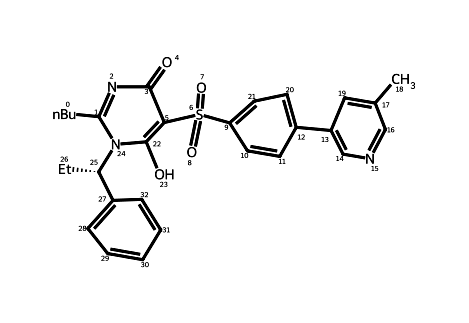 CCCCc1nc(=O)c(S(=O)(=O)c2ccc(-c3cncc(C)c3)cc2)c(O)n1[C@@H](CC)c1ccccc1